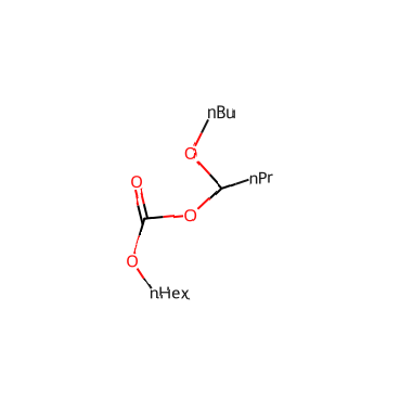 CCCCCCOC(=O)OC(CCC)OCCCC